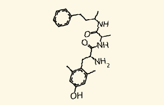 Cc1cc(O)cc(C)c1C[C@H](N)C(=O)N[C@H](C)C(=O)NC(C)CCc1ccccc1